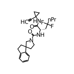 C#CC1(NC(=O)[C@H](CC(F)(F)CCC)NC(=O)N2CCC3(CCc4ccccc43)C2)CC1